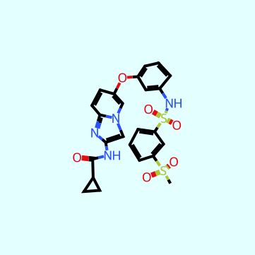 CS(=O)(=O)c1cccc(S(=O)(=O)Nc2cccc(Oc3ccc4nc(NC(=O)C5CC5)cn4c3)c2)c1